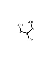 CC(C)[C](CO)CO